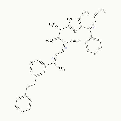 C=C/C=C(/c1ccncc1)c1nc(C(=C)C(=C)/C(=C\C=C(/C)c2cncc(CCc3ccccc3)c2)NC)[nH]c1C